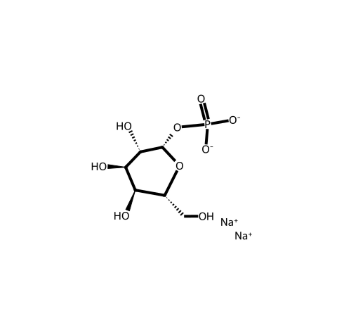 O=P([O-])([O-])O[C@@H]1O[C@H](CO)[C@@H](O)[C@@H](O)[C@@H]1O.[Na+].[Na+]